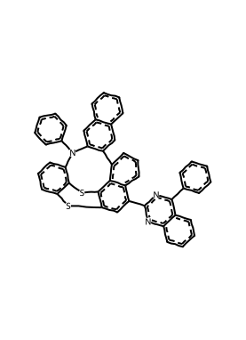 c1ccc(-c2nc(-c3cc4c5c6c(cccc36)-c3cc6ccccc6cc3N(c3ccccc3)c3cccc(c3S5)S4)nc3ccccc23)cc1